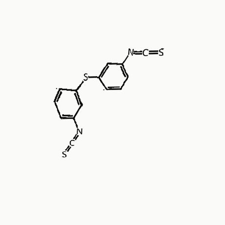 S=C=Nc1cc[c]c(Sc2[c]ccc(N=C=S)c2)c1